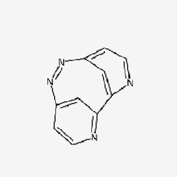 c1cc2cc(n1)-c1cc(ccn1)N=N2